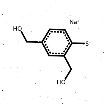 OCc1ccc([S-])c(CO)c1.[Na+]